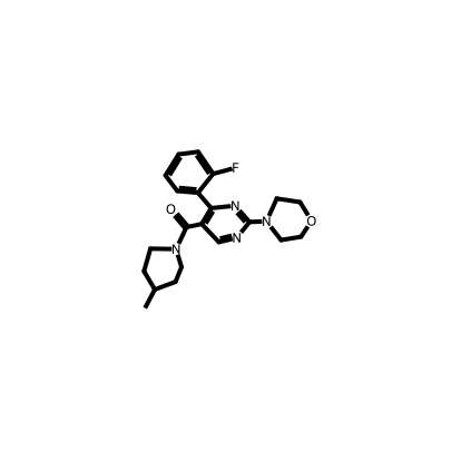 CC1CCN(C(=O)c2cnc(N3CCOCC3)nc2-c2ccccc2F)CC1